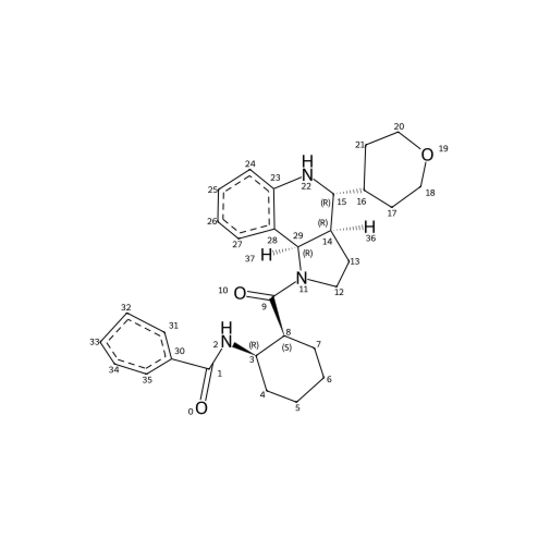 O=C(N[C@@H]1CCCC[C@@H]1C(=O)N1CC[C@@H]2[C@@H](C3CCOCC3)Nc3ccccc3[C@@H]21)c1ccccc1